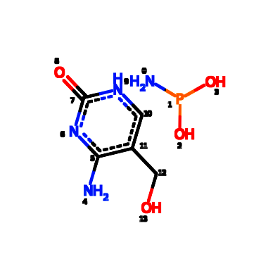 NP(O)O.Nc1nc(=O)[nH]cc1CO